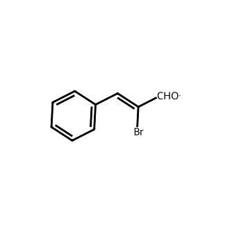 O=[C]C(Br)=Cc1ccccc1